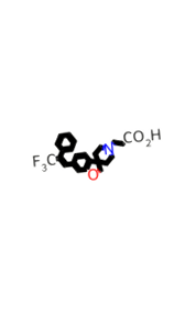 O=C(O)CCN1CCC2(CC1)COc1cc(C=C(c3ccccc3)C(F)(F)F)ccc12